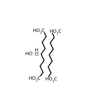 Cl.Cl.O=C(O)CCCCCCCC(=O)O.O=C(O)CCCCCCCC(=O)O